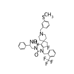 CSc1cccc(CN2CCC3(CCc4c3c(=O)n(CC(N)c3ccccc3)c(=O)n4Cc3c(F)cccc3C(F)(F)F)CC2)c1